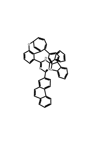 C1=CC2C=C(C(c3ccc4c(c3)oc3ccccc34)=C1)c1c(cccc1C1=NC(c3ccc4c(ccc5ccccc54)c3)=NC(c3ccccc3)N1)O2